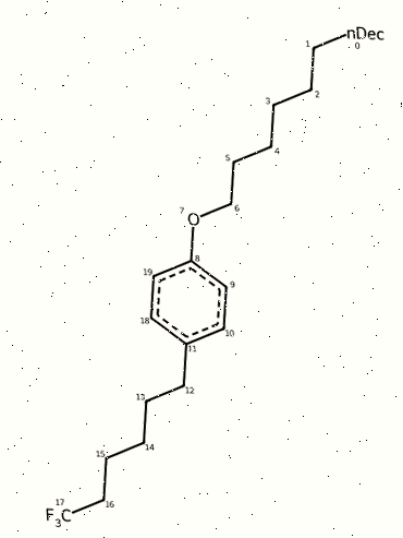 CCCCCCCCCCCCCCCCOc1ccc(CCCCCC(F)(F)F)cc1